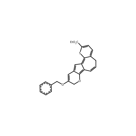 CCOC(=O)C1=CC=C2CC=CC3=C4OCC(OCc5ccccc5)=CC4=CC3=C2S1